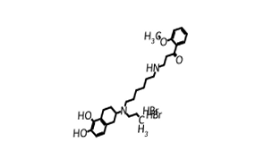 Br.Br.CCCN(CCCCCCNCCC(=O)c1ccccc1OC)C1CCc2c(ccc(O)c2O)C1